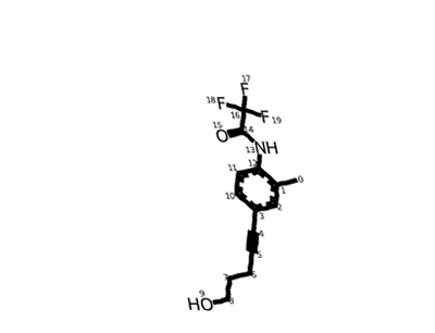 Cc1cc(C#CCCCO)ccc1NC(=O)C(F)(F)F